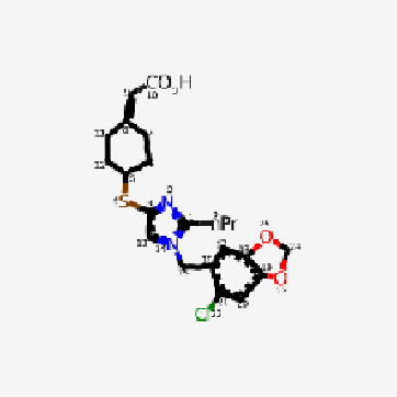 CCCc1nc(SC2CCC(=CC(=O)O)CC2)cn1Cc1cc2c(cc1Cl)OCO2